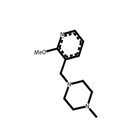 COc1ncccc1CN1CCN(C)CC1